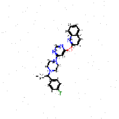 CC(c1ccc(F)cc1)N1CCN(c2cc(Oc3ccc4ccccc4n3)ncn2)CC1